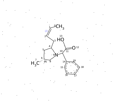 C/C=C\CC1C[C@@H](C)CN1C(C(=O)O)c1ccccc1